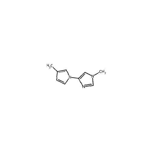 Cc1ccn(-c2cn(C)cn2)c1